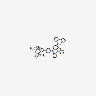 CC1(C)CCC(C)(C)c2cc(-c3ccc(N(c4ccc(-c5cc6ccccc6c6ccccc56)cc4)c4ccccc4-c4cccc5ccccc45)cc3)ccc21